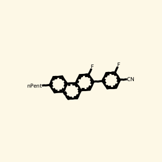 CCCCCc1ccc2c(ccc3cc(-c4ccc(C#N)c(F)c4)c(F)cc32)c1